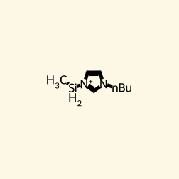 CCCCn1cc[n+]([SiH2]C)c1